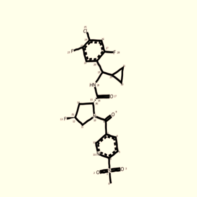 CS(=O)(=O)c1ccc(C(=O)N2C[C@@H](F)C[C@@H]2C(=O)NC(c2cc(F)c(Cl)cc2F)C2CC2)cn1